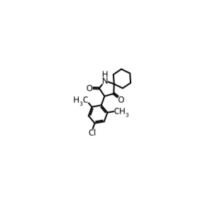 Cc1cc(Cl)cc(C)c1C1C(=O)NC2(CCCCC2)C1=O